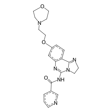 O=C(NC1=Nc2cc(OCCN3CCOCC3)ccc2C2=NCCN12)c1cccnc1